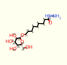 NNC(=O)CCCCCCCCO[C@H]1O[C@H](CO)[C@H](O)[C@H](O)[C@H]1O